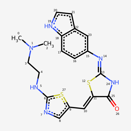 CN(C)CCNc1ncc(/C=C2\SC(=Nc3ccc4[nH]ccc4c3)NC2=O)s1